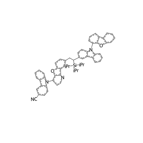 CC(C)[Si](C(C)C)(C(C)C)C(Cc1ccc2oc3c(-n4c5ccccc5c5cc(C#N)ccc54)ccnc3c2c1)c1ccc2c(c1)c1ccccc1n2-c1cccc2c1oc1ccccc12